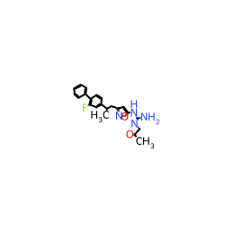 CC(=O)CN=C(N)Nc1cc(CC(C)c2ccc(-c3ccccc3)c(F)c2)no1